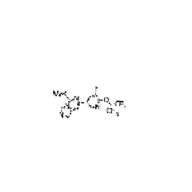 CSc1nc(-c2cnc(OC(C)C(F)(F)F)c(F)c2)cc2cncn12